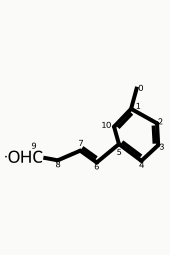 Cc1cccc(C=CC[C]=O)c1